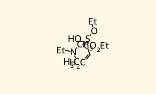 C=CC(=O)OCC.CCN(C)C.CCOS(=O)(=O)O